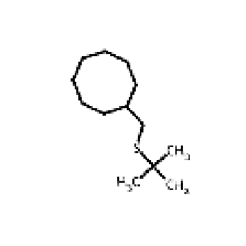 CC(C)(C)SC[C]1CCCCCCC1